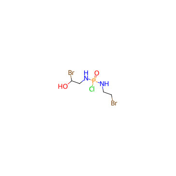 O=P(Cl)(NCCBr)NCC(O)Br